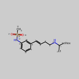 CCCCCCC(CC)NCCC=Cc1cccc(NS(C)(=O)=O)c1